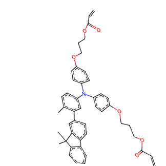 C=CC(=O)OCCCOc1ccc(N(c2ccc(OCCCOC(=O)C=C)cc2)c2ccc(C)c(-c3ccc4c(c3)C(C)(C)c3ccccc3-4)c2)cc1